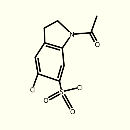 CC(=O)N1CCc2cc(Cl)c(S(=O)(=O)Cl)cc21